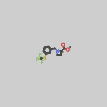 COC(=O)[C@H]1CCN1Cc1cccc(SC(F)(F)F)c1